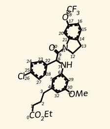 CCOC(=O)CCCc1cc(NC(C(=O)N2CCc3ccc(OC(F)(F)F)cc32)c2ccc(Cl)cc2)cc(OC)c1